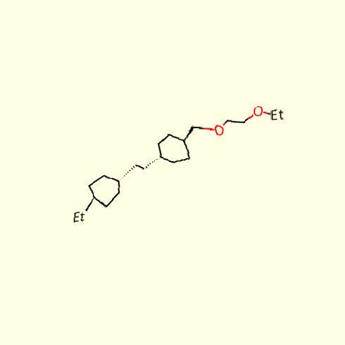 CCOCCOC[C@H]1CC[C@H](CC[C@H]2CC[C@H](CC)CC2)CC1